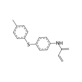 C=CC(=C)Nc1ccc(Sc2ccc(C)cc2)cc1